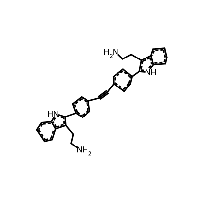 NCCc1c(-c2ccc(C#Cc3ccc(-c4[nH]c5ccccc5c4CCN)cc3)cc2)[nH]c2ccccc12